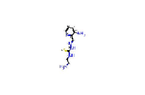 NCCNC(=S)N/N=C/c1ncccc1N